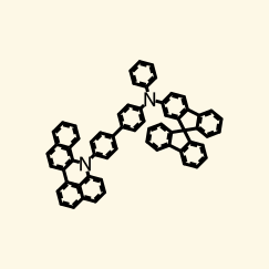 c1ccc(N(c2ccc(-c3ccc(N4c5c(ccc6ccccc56)-c5cccc6cccc4c56)cc3)cc2)c2ccc3c(c2)C2(c4ccccc4-c4ccccc42)c2ccccc2-3)cc1